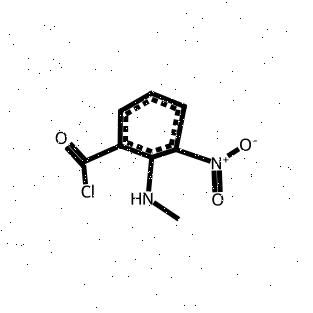 CNc1c(C(=O)Cl)cccc1[N+](=O)[O-]